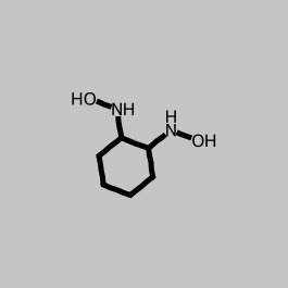 ONC1CCCCC1NO